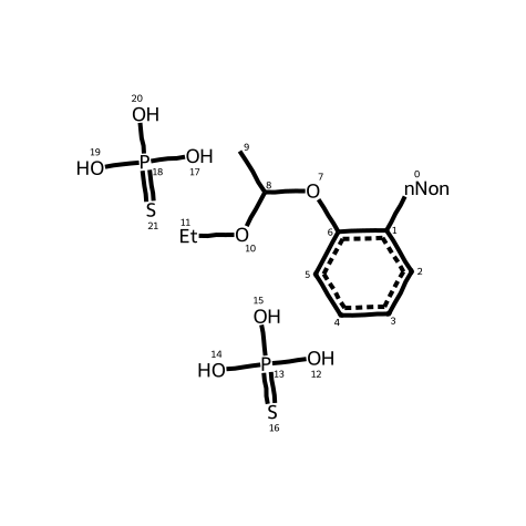 CCCCCCCCCc1ccccc1OC(C)OCC.OP(O)(O)=S.OP(O)(O)=S